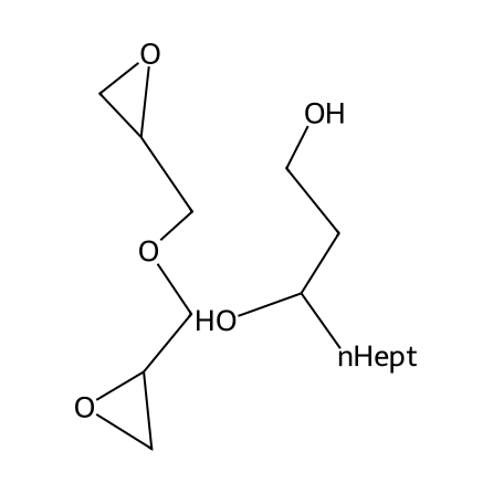 C(OCC1CO1)C1CO1.CCCCCCCC(O)CCO